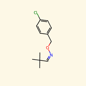 CC(C)(C)/[C]=N\OCc1ccc(Cl)cc1